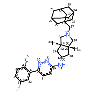 Fc1ccc(Cl)c(-c2ccc(N[C@@H]3C[C@@H]4CN(CC56CC7CC(CC(C7)C5)C6)C[C@@H]4C3)nn2)c1